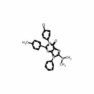 Cc1ccc(-c2nc3c(nc(N(C)C)n3-c3ccccc3)c(=O)n2-c2ccc(Cl)cc2)cc1